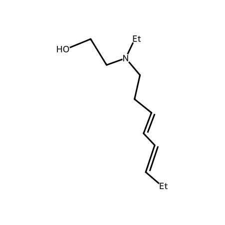 CCC=CC=CCCN(CC)CCO